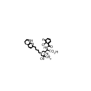 CC(C)(C#N)CN(CCCCc1ccc2c(n1)NCCC2)CCC(NC(=O)c1cccc(F)c1Cl)C(=O)O